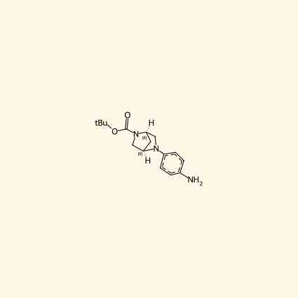 CC(C)(C)OC(=O)N1C[C@H]2C[C@@H]1CN2c1ccc(N)cc1